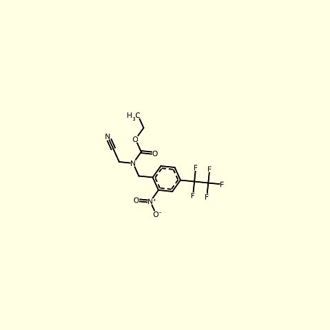 CCOC(=O)N(CC#N)Cc1ccc(C(F)(F)C(F)(F)F)cc1[N+](=O)[O-]